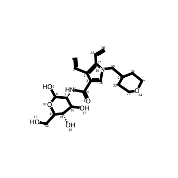 C=Cc1c(C(=O)N[C@H]2C(O)OC(CO)[C@@H](O)C2O)cn(CC2CCOCC2)c1C=C